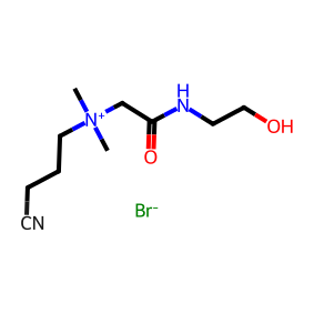 C[N+](C)(CCCC#N)CC(=O)NCCO.[Br-]